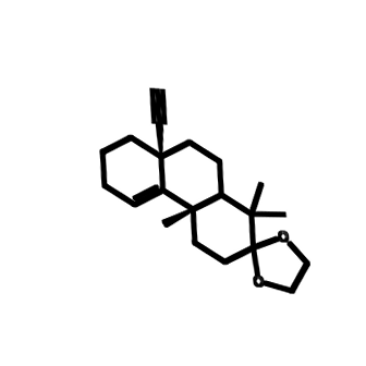 C#C[C@]12CCCC=C1[C@@]1(C)CCC3(OCCO3)C(C)(C)C1CC2